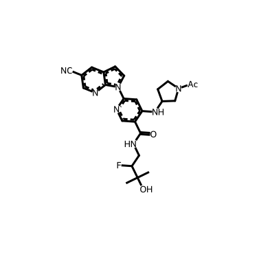 CC(=O)N1CCC(Nc2cc(-n3ccc4cc(C#N)cnc43)ncc2C(=O)NCC(F)C(C)(C)O)C1